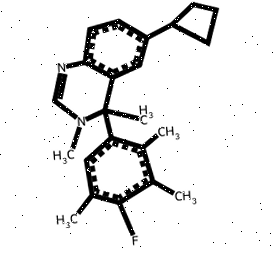 Cc1cc(C2(C)c3cc(C4CCC4)ccc3N=CN2C)c(C)c(C)c1F